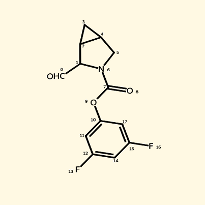 O=CC1C2CC2CN1C(=O)Oc1cc(F)cc(F)c1